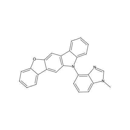 Cn1cnc2c(-n3c4ccccc4c4cc5oc6ccccc6c5cc43)cccc21